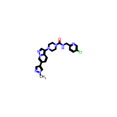 Cn1cc(-c2ccc3c(N4CCN(C(=O)NCc5ccc(Cl)cn5)CC4)cnn3c2)cn1